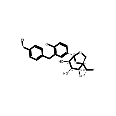 CCOc1ccc(Cc2cc([C@]34OC[C@]([C@@H](C)F)(O3)[C@@H](O)[C@H](O)[C@H]4O)ccc2Cl)cc1